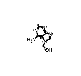 Nc1ncnc2ncn(CO)c12